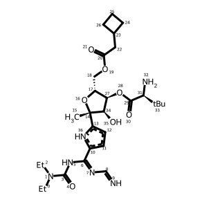 CCN(CC)C(=O)N/C(=N/C=N)c1ccc([C@]2(C)O[C@H](COC(=O)CC3CCC3)[C@@H](OC(=O)[C@@H](N)C(C)(C)C)[C@H]2O)[nH]1